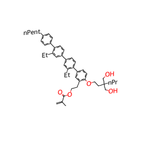 C=C(C)C(=O)OCCc1cc(-c2ccc(-c3ccc(-c4ccc(CCCCC)cc4)c(CC)c3)cc2CC)ccc1OCCC(CO)(CO)CCC